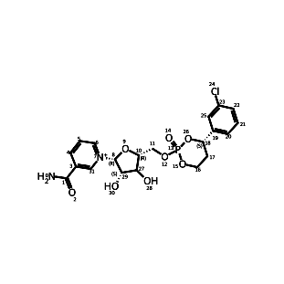 NC(=O)c1ccc[n+]([C@@H]2O[C@H](COP3(=O)OCC[C@@H](c4cccc(Cl)c4)O3)C(O)[C@@H]2O)c1